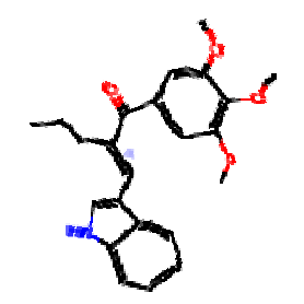 CCC/C(=C\c1c[nH]c2ccccc12)C(=O)c1cc(OC)c(OC)c(OC)c1